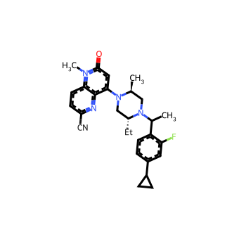 CC[C@@H]1CN(c2cc(=O)n(C)c3ccc(C#N)nc23)[C@@H](C)CN1C(C)c1ccc(C2CC2)cc1F